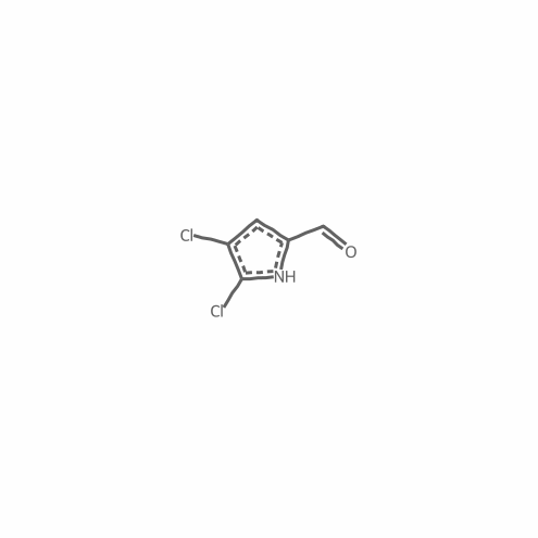 O=Cc1cc(Cl)c(Cl)[nH]1